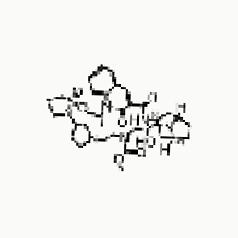 COC(=O)N(CCN1CCC(N2CCCS2(=O)=O)C1)CC(O)CN1[C@@H]2CC[C@H]1C[C@H](NC(=O)c1cc3ccccc3n(C(C)C)c1=O)C2